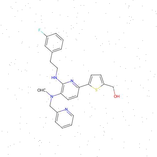 O=CN(Cc1ccccn1)c1ccc(-c2ccc(CO)s2)nc1NCCc1cccc(F)c1